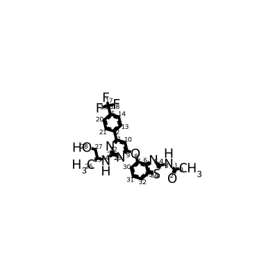 CC(=O)Nc1nc2c(Oc3cc(-c4ccc(C(F)(F)F)cc4)nc(NC(C)CO)n3)cccc2s1